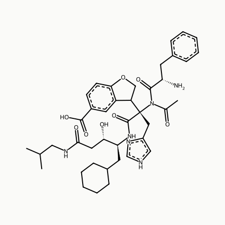 CC(=O)N(C(=O)[C@@H](N)Cc1ccccc1)[C@](Cc1c[nH]cn1)(C(=O)N[C@@H](CC1CCCCC1)[C@@H](O)CC(=O)NCC(C)C)C1COc2ccc(C(=O)O)cc21